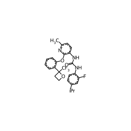 Cc1ccc(NC(=O)Nc2ccc(C(C)C)cc2F)c(Oc2ccccc2C2(C(F)(F)F)CCO2)n1